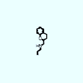 [CH2]CCNCC1CCc2ccccc2O1